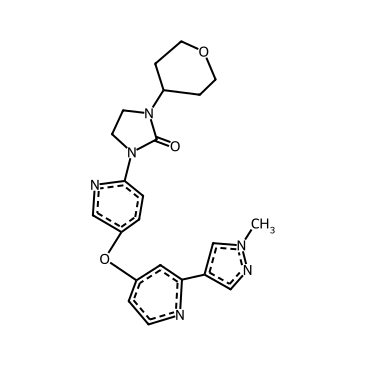 Cn1cc(-c2cc(Oc3ccc(N4CCN(C5CCOCC5)C4=O)nc3)ccn2)cn1